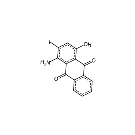 Nc1c(I)cc(O)c2c1C(=O)c1ccccc1C2=O